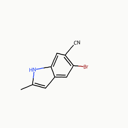 Cc1cc2cc(Br)c(C#N)cc2[nH]1